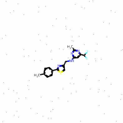 Cc1ccc(-c2nc(CNc3cc(C(F)F)nc(C)n3)cs2)cc1